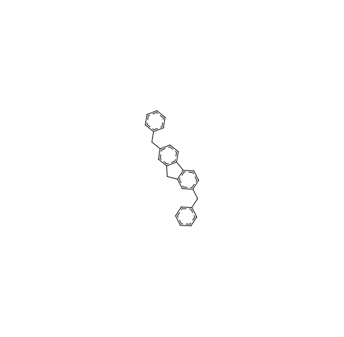 c1ccc(Cc2ccc3c(c2)Cc2cc(Cc4ccccc4)ccc2-3)cc1